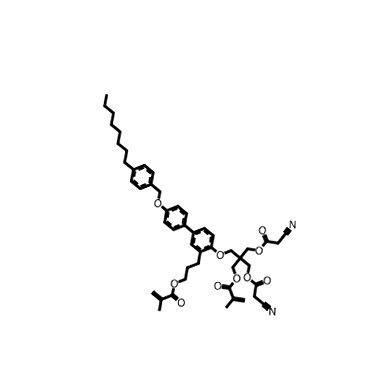 C=C(C)C(=O)OCCCc1cc(-c2ccc(OCc3ccc(CCCCCCCC)cc3)cc2)ccc1OCC(COC(=O)CC#N)(COC(=O)CC#N)COC(=O)C(=C)C